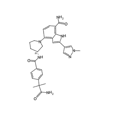 Cn1cc(-c2cc3c(N4CCC[C@@H](NC(=O)c5ccc(C(C)(C)C(N)=O)cc5)C4)ccc(C(N)=O)c3[nH]2)cn1